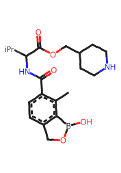 Cc1c(C(=O)NC(C(=O)OCC2CCNCC2)C(C)C)ccc2c1B(O)OC2